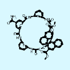 COC(=O)c1cc2ccccc2c2c1OCC(=O)Nc1cccc(n1)NC(=O)c1cc(C(N)=O)cc(c1)C(=O)Nc1cccc(n1)NC(=O)COc1c(C(=O)OC)cc3ccccc3c1-2